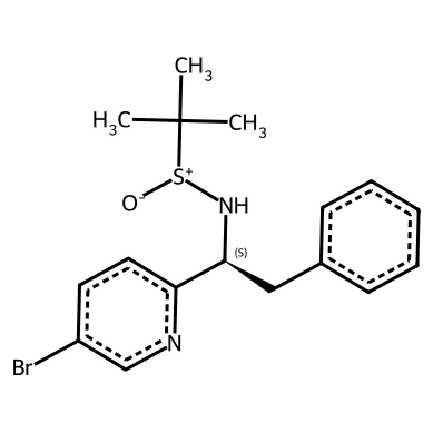 CC(C)(C)[S+]([O-])N[C@@H](Cc1ccccc1)c1ccc(Br)cn1